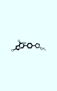 CN1CCC(c2ccc(-c3cn4cc(Cl)cc4c(=O)[nH]3)cc2)C1